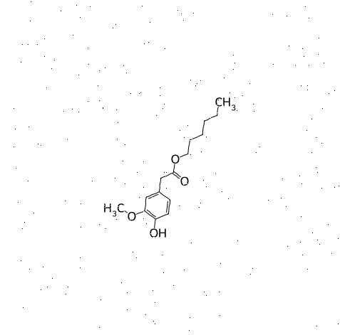 CCCCCCOC(=O)Cc1ccc(O)c(OC)c1